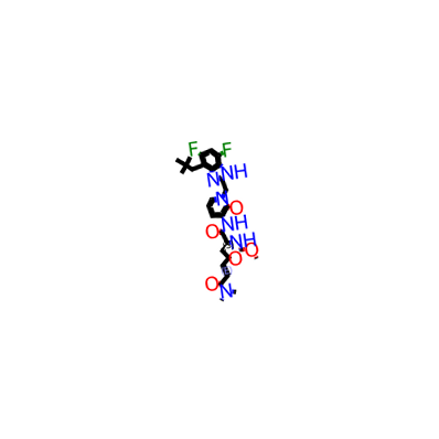 COC(=O)N[C@@H](CC/C=C/C(=O)N(C)C)C(=O)Nc1cccn(Cc2nc3c(CC(C)(C)C)c(F)cc(F)c3[nH]2)c1=O